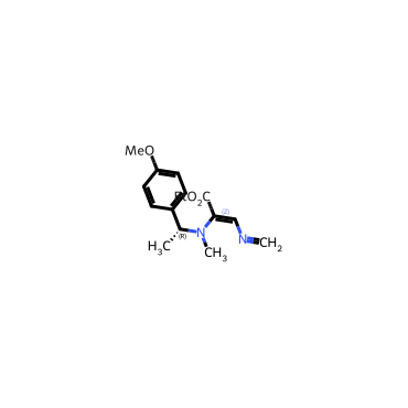 C=N/C=C(/C(=O)OCC)N(C)[C@H](C)c1ccc(OC)cc1